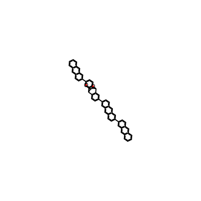 O=C1C(=O)C2c3ccc(-c4ccc5cc6ccccc6cc5c4)cc3C1c1ccc(-c3ccc4cc5cc(-c6ccc7cc8ccccc8cc7c6)ccc5cc4c3)cc12